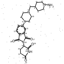 NN1CCC(CN2CCN(c3ccc4c(c3)C(=O)N(C3CCC(=O)NC3=O)C4=O)CC2)CC1